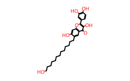 O=c1c(O)c(-c2ccc(O)c(O)c2)oc2cc(O)c(CCCCCCCCCCCCCO)cc12